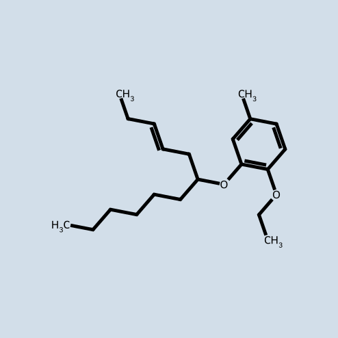 CCC=CCC(CCCCCC)Oc1cc(C)ccc1OCC